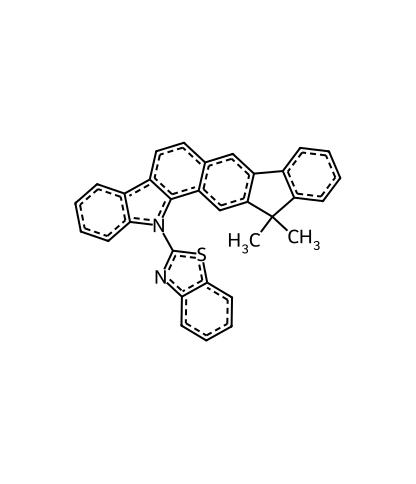 CC1(C)c2ccccc2-c2cc3ccc4c5ccccc5n(-c5nc6ccccc6s5)c4c3cc21